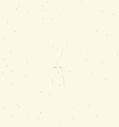 CCCCCS(=O)(=O)C(=CN)SC